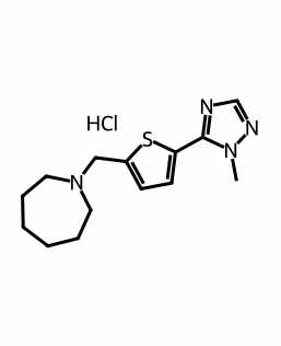 Cl.Cn1ncnc1-c1ccc(CN2CCCCCC2)s1